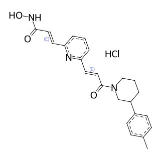 Cc1ccc(C2CCCN(C(=O)/C=C/c3cccc(/C=C/C(=O)NO)n3)C2)cc1.Cl